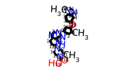 Cc1cc(Nc2ncnc3ccc(N4CCN(C(=O)O)[C@@H](C)C4)nc23)ccc1Oc1ccc2c(c1)ncn2C